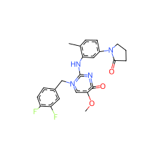 COc1cn(Cc2ccc(F)c(F)c2)c(Nc2cc(N3CCCC3=O)ccc2C)nc1=O